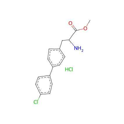 COC(=O)C(N)Cc1ccc(-c2ccc(Cl)cc2)cc1.Cl